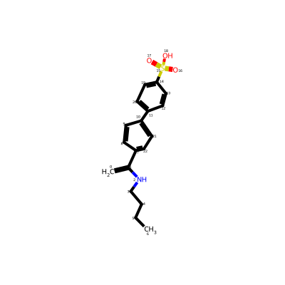 C=C(NCCCC)c1ccc(-c2ccc(S(=O)(=O)O)cc2)cc1